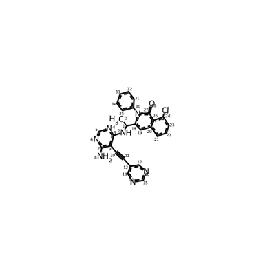 C[C@H](Nc1ncnc(N)c1C#Cc1cncnc1)c1cc2cccc(Cl)c2c(=O)n1-c1ccccc1